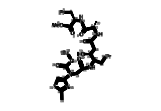 COC(=O)[C@@H](CC(C)C)NC(=O)[C@H](C)NC(=O)C[C@H](O)C(CC(C)C)NC(=O)CN(C(=O)OC(C)(C)C)c1csc(C)n1